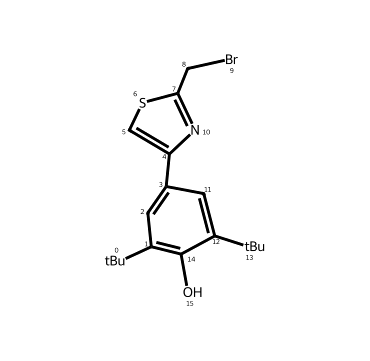 CC(C)(C)c1cc(-c2csc(CBr)n2)cc(C(C)(C)C)c1O